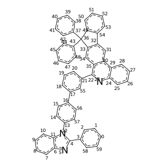 c1ccc(-c2nc3ccccc3n2-c2ccc(-c3cccc(-c4nc5ccccc5c5cc6c(cc45)C(c4ccccc4)(c4ccccc4)c4ccccc4-6)c3)cc2)cc1